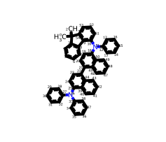 CC1(C)c2ccccc2-c2c(N(c3ccccc3)c3ccc(-c4ccc(N(c5ccccc5)c5ccccc5)c5ccccc45)c4ccccc34)cccc21